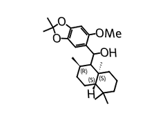 COc1cc2c(cc1C(O)C1[C@H](C)CC[C@H]3C(C)(C)CCC[C@]13C)OC(C)(C)O2